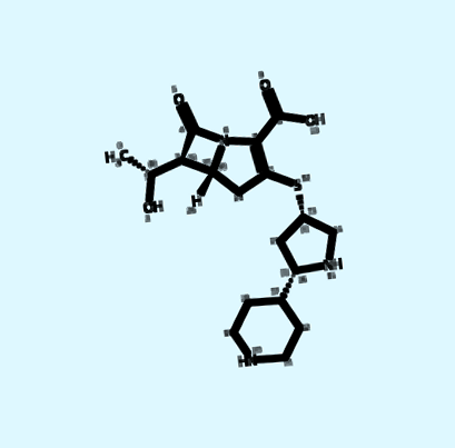 C[C@@H](O)[C@H]1C(=O)N2C(C(=O)O)=C(S[C@@H]3CN[C@H](C4CCNCC4)C3)C[C@H]12